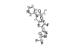 CCS(=O)(=O)N(Cc1nc(F)c(-c2nnc(C(F)F)o2)s1)c1cccnc1